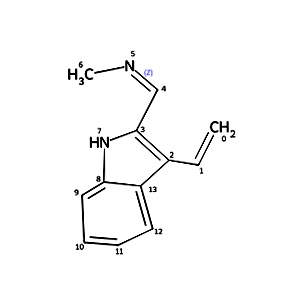 C=Cc1c(/C=N\C)[nH]c2ccccc12